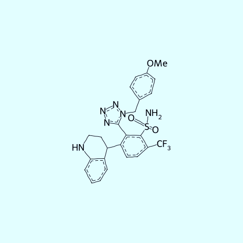 COc1ccc(Cn2nnnc2-c2c(C3CCNc4ccccc43)ccc(C(F)(F)F)c2S(N)(=O)=O)cc1